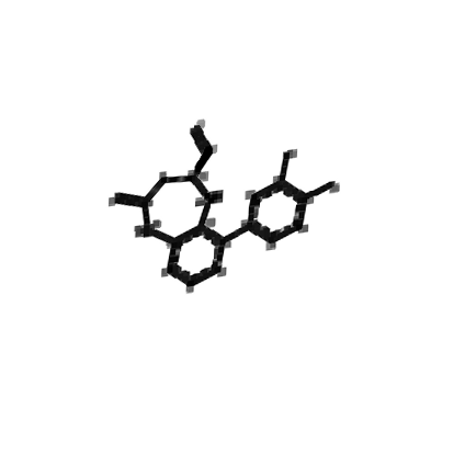 C=C[C@@H]1CC(=C)Nc2cccc(-c3ccc(C)c(C)c3)c2N1